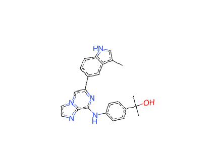 Cc1c[nH]c2ccc(-c3cn4ccnc4c(Nc4ccc(C(C)(C)O)cc4)n3)cc12